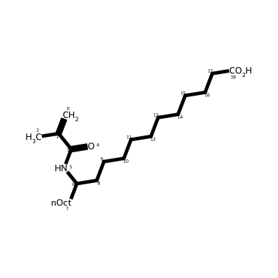 C=C(C)C(=O)NC(CCCCCCCC)CCCCCCCCCCC(=O)O